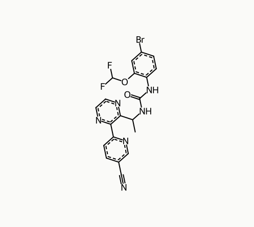 CC(NC(=O)Nc1ccc(Br)cc1OC(F)F)c1nccnc1-c1ccc(C#N)cn1